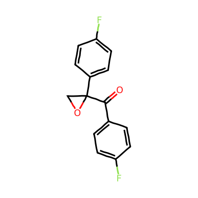 O=C(c1ccc(F)cc1)C1(c2ccc(F)cc2)CO1